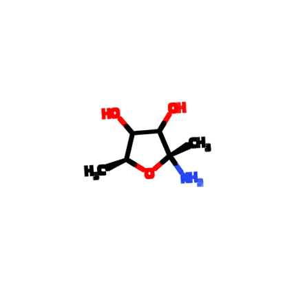 C[C@@H]1O[C@@](C)(N)C(O)C1O